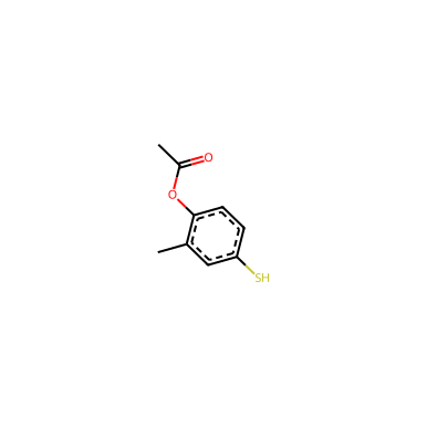 CC(=O)Oc1ccc(S)cc1C